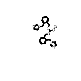 CCOC(OCc1ccccc1Cn1ccnc1)OCc1ccccc1Cn1ccnc1